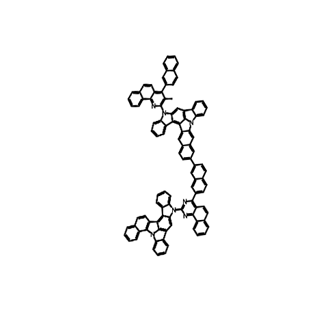 Cc1c(-n2c3ccccc3c3c4c5cc6ccc(-c7ccc8ccc(-c9nc(-n%10c%11ccccc%11c%11c%12c%13ccc%14ccccc%14c%13n%13c%14ccccc%14c(cc%11%10)c%12%13)nc%10c9ccc9ccccc9%10)cc8c7)cc6cc5n5c6ccccc6c(cc32)c45)nc2c(ccc3ccccc32)c1-c1ccc2ccccc2c1